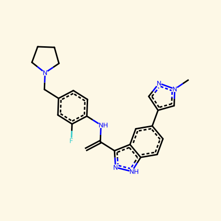 C=C(Nc1ccc(CN2CCCC2)cc1F)c1n[nH]c2ccc(-c3cnn(C)c3)cc12